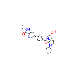 CC(C)NC(=O)c1ccc(-c2ccc(CN3C[C@H](O)CC34CCN(C3CCCCC3)C4=O)cc2F)cn1